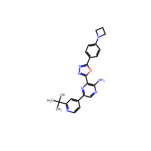 CC(C)(C#N)c1cc(-c2cnc(N)c(-c3nnc(-c4ccc(N5CCC5)cc4)o3)n2)ccn1